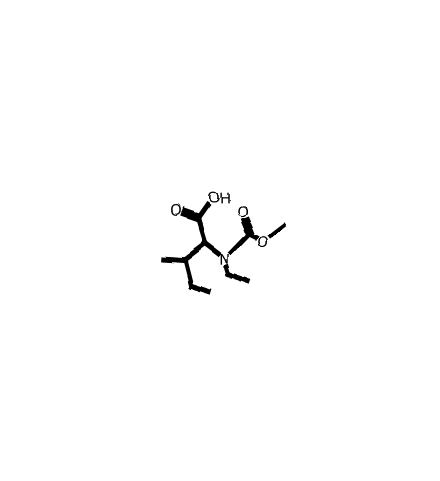 CCC(C)C(C(=O)O)N(CC)C(=O)OC